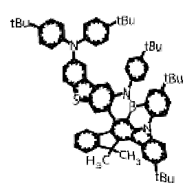 CC(C)(C)c1ccc(N2B3c4cc(C(C)(C)C)ccc4-n4c5ccc(C(C)(C)C)cc5c5c6c(c(c3c54)-c3cc4sc5ccc(N(c7ccc(C(C)(C)C)cc7)c7ccc(C(C)(C)C)cc7)cc5c4cc32)-c2ccccc2C6(C)C)cc1